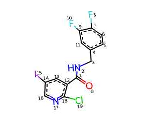 O=C(NCc1ccc(F)c(F)c1)c1cc(I)cnc1Cl